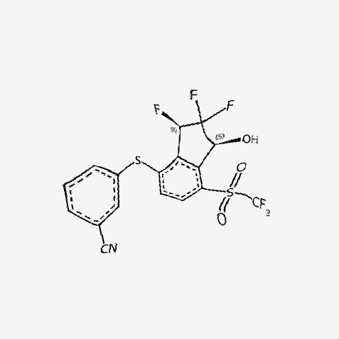 N#Cc1cccc(Sc2ccc(S(=O)(=O)C(F)(F)F)c3c2[C@@H](F)C(F)(F)[C@H]3O)c1